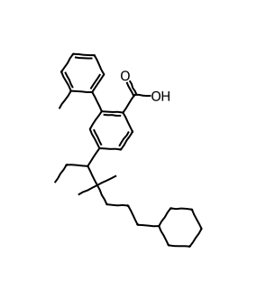 CCC(c1ccc(C(=O)O)c(-c2ccccc2C)c1)C(C)(C)CCCC1CCCCC1